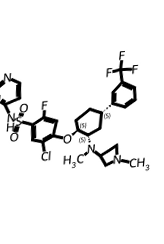 CN1CC(N(C)[C@H]2C[C@@H](c3cccc(C(F)(F)F)c3)CC[C@@H]2Oc2cc(F)c(S(=O)(=O)Nc3ccncn3)cc2Cl)C1